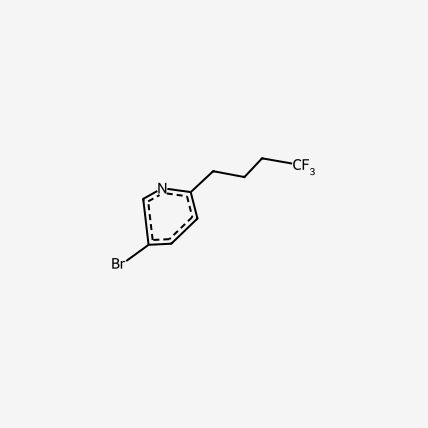 FC(F)(F)CCCc1ccc(Br)cn1